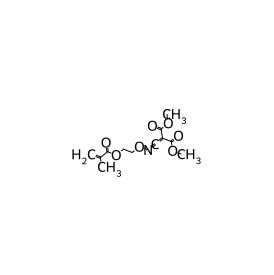 C=C(C)C(=O)OCCON=C=C(C(=O)OC)C(=O)OC